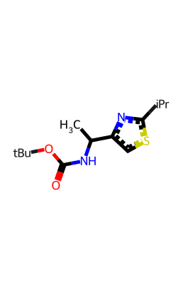 CC(C)c1nc(C(C)NC(=O)OC(C)(C)C)cs1